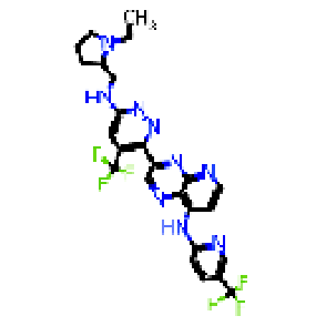 CCN1CCCC1CNc1cc(C(F)(F)F)c(-c2cnc3c(Nc4ccc(C(F)(F)F)cn4)ccnc3n2)nn1